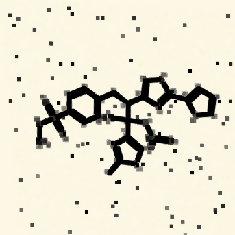 Cc1nc(C(N)(O[SH](=O)=O)[C@@H](Cc2ccc(S(=O)(=O)ON)cc2)c2csc(-c3cccs3)n2)cs1